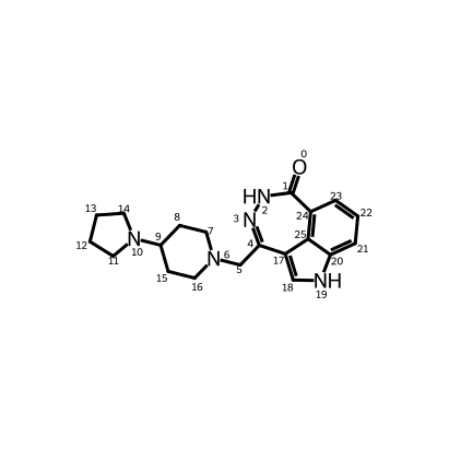 O=C1NN=C(CN2CCC(N3CCCC3)CC2)c2c[nH]c3cccc1c23